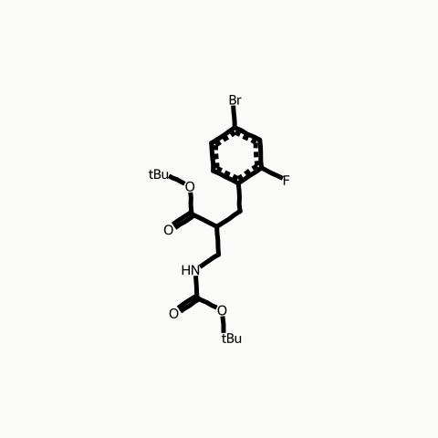 CC(C)(C)OC(=O)NCC(Cc1ccc(Br)cc1F)C(=O)OC(C)(C)C